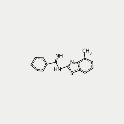 Cc1cccc2sc(NC(=N)c3ccccc3)nc12